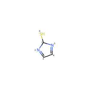 SC1N=CC=N1